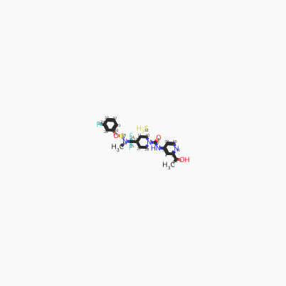 CC(O)c1cc(NC(=O)N2CCC(C(F)(F)N(C)SOc3cccc(F)c3)CC2)ccn1.S